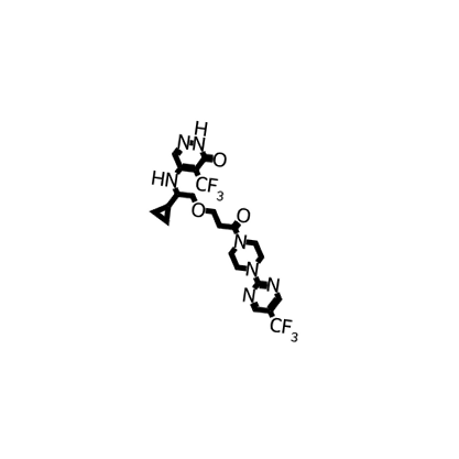 O=C(CCOCC(Nc1cn[nH]c(=O)c1C(F)(F)F)C1CC1)N1CCN(c2ncc(C(F)(F)F)cn2)CC1